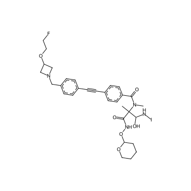 CN(C(=O)c1ccc(C#Cc2ccc(CN3CC(OCCF)C3)cc2)cc1)C(C)(C(=O)NOC1CCCCO1)C(O)NI